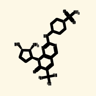 [2H]C([2H])([2H])c1cc2cnc(NC3CCN(S(C)(=O)=O)CC3)nc2n([C@H]2CC[C@H](O)[C@@H]2C)c1=O